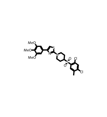 COc1cc(-c2csc(N3CCC(S(=O)(=O)c4cc(C)c(Cl)cc4Cl)CC3)n2)cc(OC)c1OC